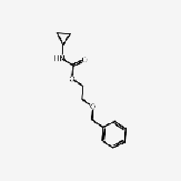 O=C(NC1CC1)OCCOCc1ccccc1